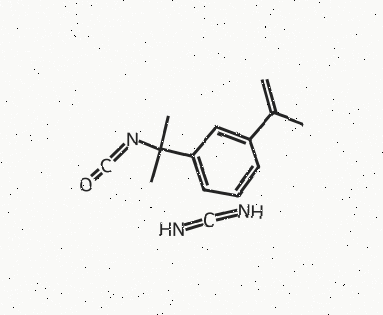 C=C(C)c1cccc(C(C)(C)N=C=O)c1.N=C=N